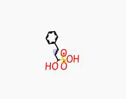 O=S(=O)(O)C(O)/C=C/c1ccccc1